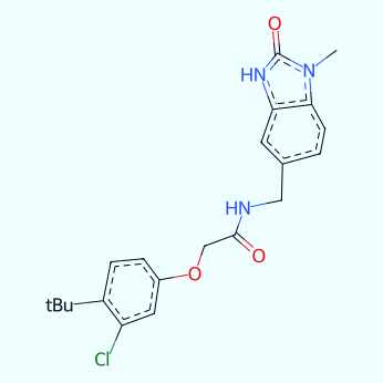 Cn1c(=O)[nH]c2cc(CNC(=O)COc3ccc(C(C)(C)C)c(Cl)c3)ccc21